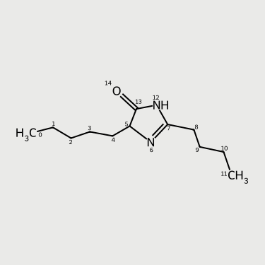 CCCCCC1N=C(CCCC)NC1=O